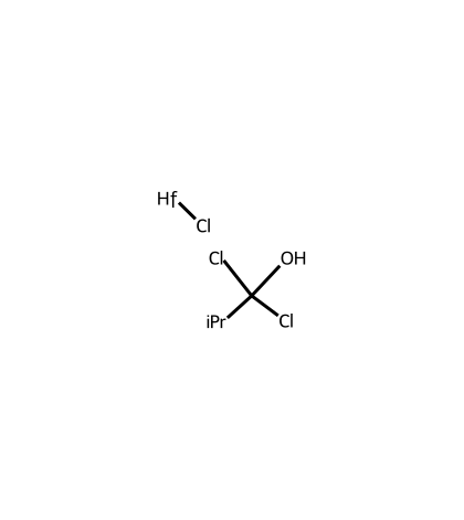 CC(C)C(O)(Cl)Cl.[Cl][Hf]